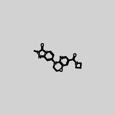 Cn1nc2cc(N3CCOc4cc(C(=O)N5CCC5)cnc43)ccn2c1=O